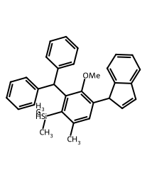 COc1c(C2C=Cc3ccccc32)cc(C)c([SiH](C)C)c1C(c1ccccc1)c1ccccc1